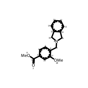 COC(=O)c1ccc(CN2Cc3ccccc3C2)c(OC)c1